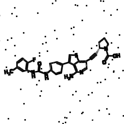 Cc1ccc(F)c(NC(=O)Nc2ccc(-c3csc4c(C#C[C@@H]5CCCN5C(=O)O)cnc(N)c34)cc2)c1